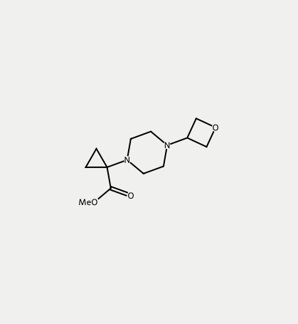 COC(=O)C1(N2CCN(C3COC3)CC2)CC1